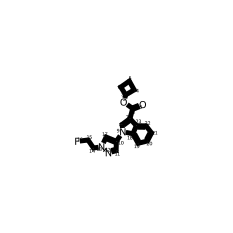 O=C(OC1CCC1)c1cn(-c2cnn(CCF)c2)c2ccccc12